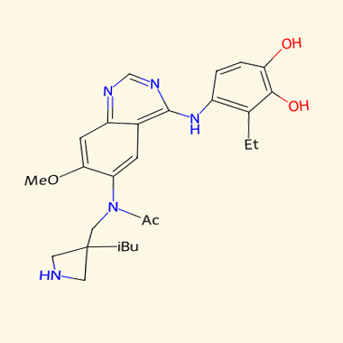 CCc1c(Nc2ncnc3cc(OC)c(N(CC4(C(C)CC)CNC4)C(C)=O)cc23)ccc(O)c1O